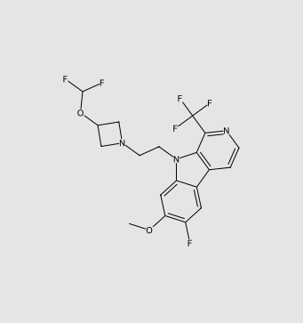 COc1cc2c(cc1F)c1ccnc(C(F)(F)F)c1n2CCN1CC(OC(F)F)C1